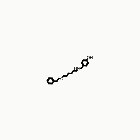 Oc1ccc(CNCCCCCCOCCc2ccccc2)cc1